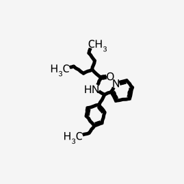 CCCC(CCC)C(=O)NC(c1ccc(CC)cc1)c1ccccn1